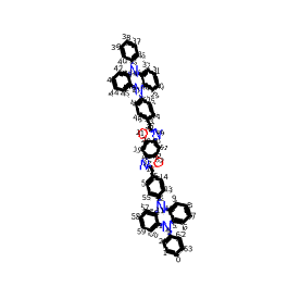 c1ccc(N2c3ccccc3N(c3ccc(-c4nc5cc6oc(-c7ccc(N8c9ccccc9N(c9ccccc9)c9ccccc98)cc7)nc6cc5o4)cc3)c3ccccc32)cc1